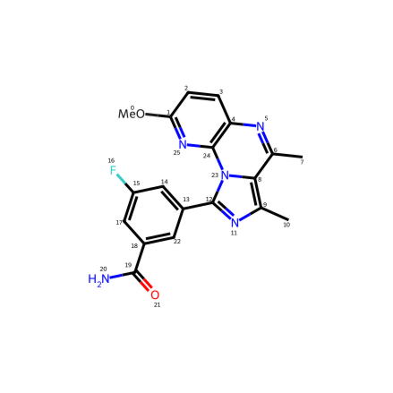 COc1ccc2nc(C)c3c(C)nc(-c4cc(F)cc(C(N)=O)c4)n3c2n1